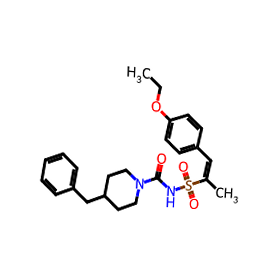 CCOc1ccc(C=C(C)S(=O)(=O)NC(=O)N2CCC(Cc3ccccc3)CC2)cc1